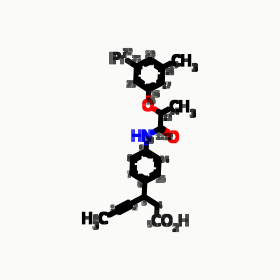 CC#CC(CC(=O)O)c1ccc(NC(=O)C(C)Oc2cc(C)cc(C(C)C)c2)cc1